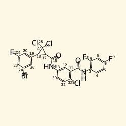 O=C(Nc1ccc(F)cc1F)c1cc(NC(=O)C2C(c3cc(F)cc(Br)c3)C2(Cl)Cl)ccc1Cl